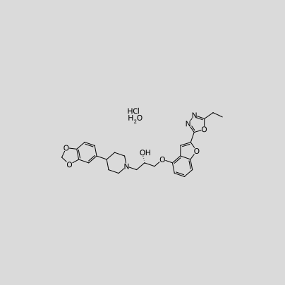 CCc1nnc(-c2cc3c(OC[C@@H](O)CN4CCC(c5ccc6c(c5)OCO6)CC4)cccc3o2)o1.Cl.O